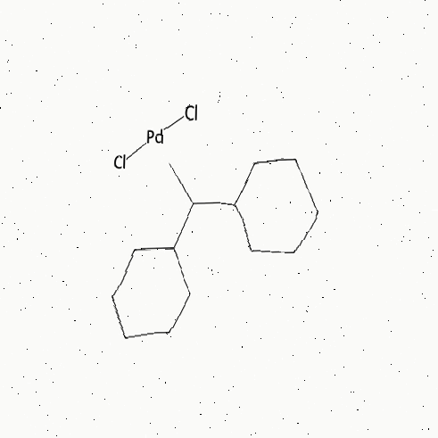 CC(C1CCCCC1)C1CCCCC1.[Cl][Pd][Cl]